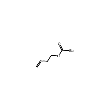 C=CCCOC(=O)C(C)CC